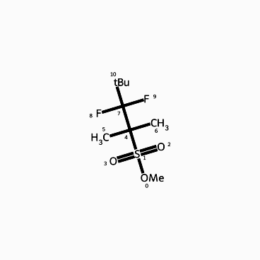 COS(=O)(=O)C(C)(C)C(F)(F)C(C)(C)C